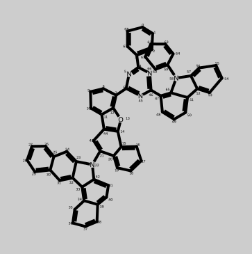 c1ccc(-c2nc(-c3cccc4c3oc3c5ccccc5c(-n5c6cc7ccccc7cc6c6c7ccccc7ccc65)cc43)nc(-c3cccc4c5ccccc5n(-c5ccccc5)c34)n2)cc1